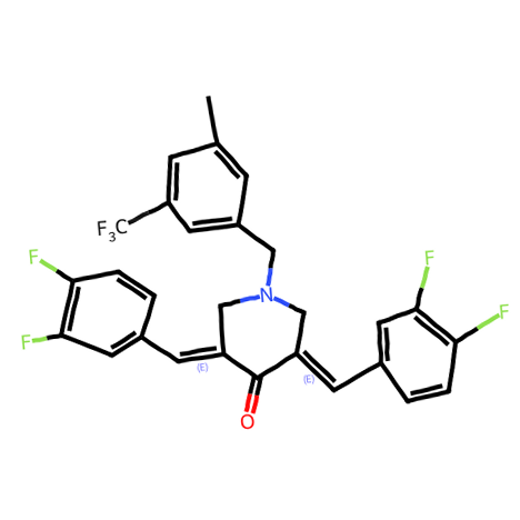 Cc1cc(CN2C/C(=C\c3ccc(F)c(F)c3)C(=O)/C(=C/c3ccc(F)c(F)c3)C2)cc(C(F)(F)F)c1